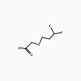 O=C(O)CSCCC(F)F